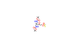 CC(CNC(=O)OC(C)(C)C)(CNC(=O)OC(C)(C)C)CC(=O)CCOS(C)(=O)=S